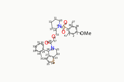 COc1cc(C)c(S(=O)(=O)N2CCCCC2COCC(=O)N2CCc3sccc3C2c2ccccc2C)c(C)c1